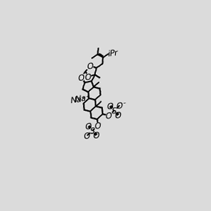 CC(C)=C(CC1OC2OC3CC4C5CCC6CC(OS(=O)(=O)[O-])C(OS(=O)(=O)[O-])CC6(C)C5CCC4(C)C3C1(C)O2)C(C)C.[Na+].[Na+]